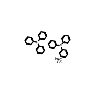 [Cl][Ir].[Co].c1ccc(P(c2ccccc2)c2ccccc2)cc1.c1ccc(P(c2ccccc2)c2ccccc2)cc1